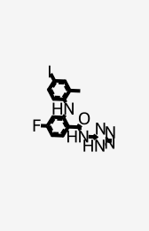 Cc1cc(I)ccc1Nc1cc(F)ccc1C(=O)Nc1nnn[nH]1